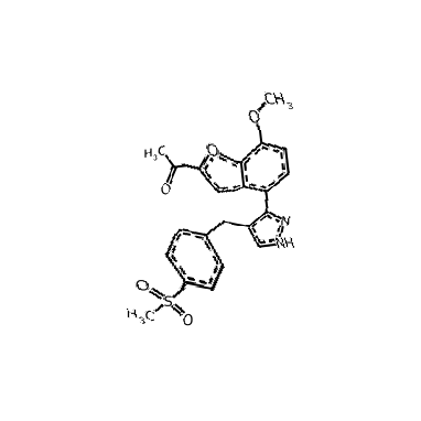 COc1ccc(-c2n[nH]cc2Cc2ccc(S(C)(=O)=O)cc2)c2cc(C(C)=O)oc12